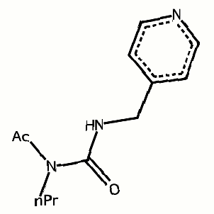 CCCN(C(C)=O)C(=O)NCc1ccncc1